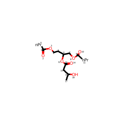 CCCC(=O)OCCC(COC(=O)CCC)OC(=O)CC(C)O